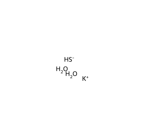 O.O.[K+].[SH-]